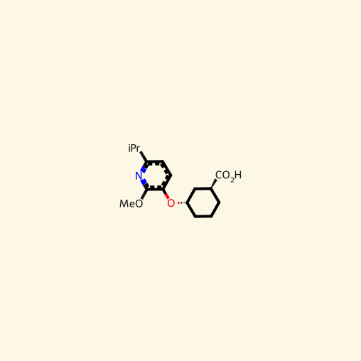 COc1nc(C(C)C)ccc1O[C@H]1CCC[C@H](C(=O)O)C1